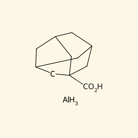 O=C(O)C12CC3CC(CC(C3)C1)C2.[AlH3]